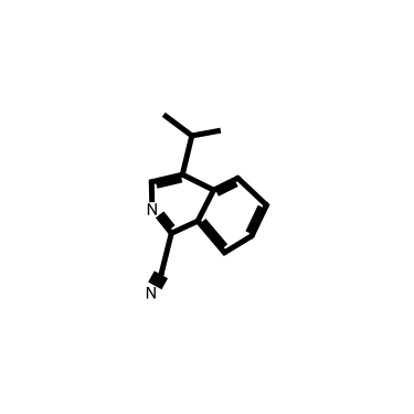 CC(C)c1cnc(C#N)c2ccccc12